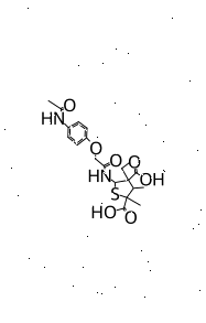 CCC1(C(=O)O)C(NC(=O)COc2ccc(NC(C)=O)cc2)SC(C)(C(=O)O)C1C